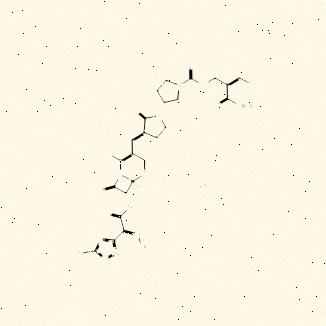 CCC=C(COC(=O)N1CC[C@@H](N2CCC(=CC3=C(C(=O)O)N4C(=O)[C@@H](NC(=O)C(=NO)c5nsc(N)n5)[C@H]4SC3)C2=O)C1)C(=O)OCC(C)C.[Na]